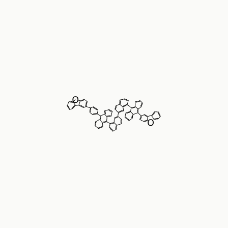 c1cc(-c2c3ccccc3c(-c3ccc(-c4ccc5oc6ccccc6c5c4)cc3)c3ccccc23)c2cc(-c3ccc4cccc(-c5c6ccccc6c(-c6ccc7oc8ccccc8c7c6)c6ccccc56)c4c3)ccc2c1